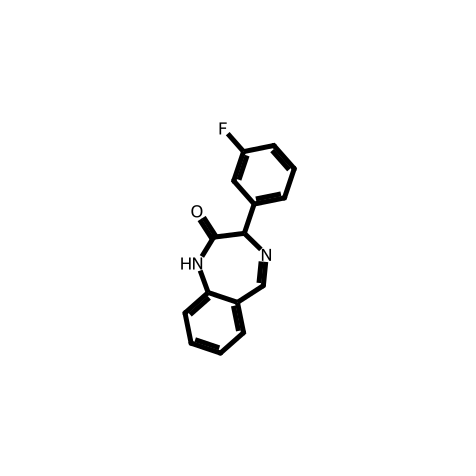 O=C1Nc2ccccc2C=NC1c1cccc(F)c1